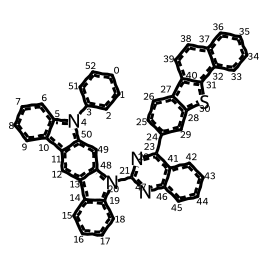 c1ccc(-n2c3ccccc3c3cc4c5ccccc5n(-c5nc(-c6ccc7c(c6)sc6c8ccccc8ccc76)c6ccccc6n5)c4cc32)cc1